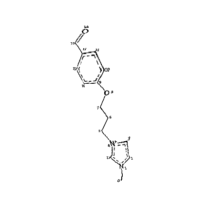 Cn1cc[n+](CCCOc2ccc(C=O)cc2)c1